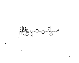 C#CCCC(=O)NCCOCCOCCNC[C@H]1OCC[C@H]2OC(C)(C)O[C@@H]12